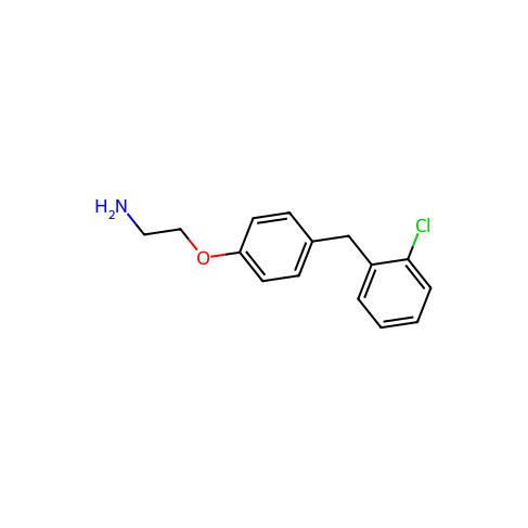 NCCOc1ccc(Cc2ccccc2Cl)cc1